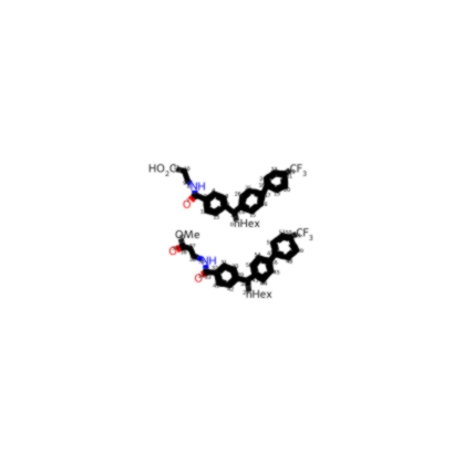 CCCCCCC(c1ccc(C(=O)NCCC(=O)O)cc1)c1ccc(-c2ccc(C(F)(F)F)cc2)cc1.CCCCCCC(c1ccc(C(=O)NCCC(=O)OC)cc1)c1ccc(-c2ccc(C(F)(F)F)cc2)cc1